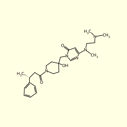 C[C@H](CC(=O)N1CCC(O)(Cn2cnc(N(C)CCN(C)C)cc2=O)CC1)c1ccccc1